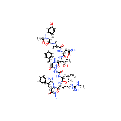 CNC(=N)NCCC[C@H](NC(=O)[C@H](CC(C)C)NC(=O)NNC(=O)[C@H](Cc1ccccc1)NC(=O)[C@@H](NC(=O)[C@H](CC(N)=O)NC(=O)C1CN(C(=O)[C@@H](Cc2ccc(O)cc2)NC(C)=O)C1)[C@@H](C)O)C(=O)N[C@@H](Cc1c[nH]c2ccccc12)C(N)=O